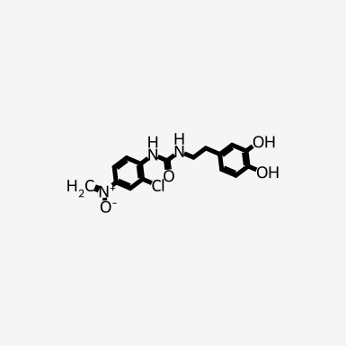 C=[N+]([O-])c1ccc(NC(=O)NCCc2ccc(O)c(O)c2)c(Cl)c1